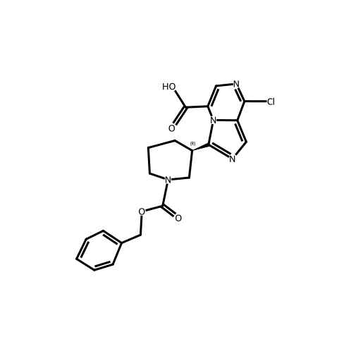 O=C(O)c1cnc(Cl)c2cnc([C@@H]3CCCN(C(=O)OCc4ccccc4)C3)n12